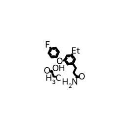 CCC(=O)O.CCc1cc(CCC(N)=O)cc(Oc2ccc(F)cc2)c1